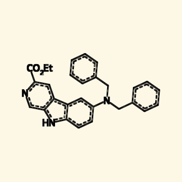 CCOC(=O)c1cc2c(cn1)[nH]c1ccc(N(Cc3ccccc3)Cc3ccccc3)cc12